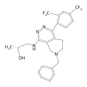 C[C@@H](O)CNc1nnc(-c2ccc(C(F)(F)F)cc2C(F)(F)F)c2c1CN(Cc1ccccc1)CC2